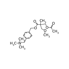 COCC(C)(COC(C)=O)C(=O)OCc1ccc(C[N+](C)(C)C)cc1